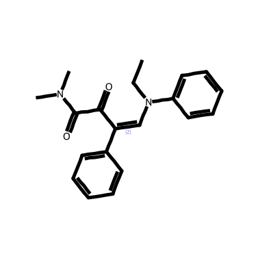 CCN(/C=C(\C(=O)C(=O)N(C)C)c1ccccc1)c1ccccc1